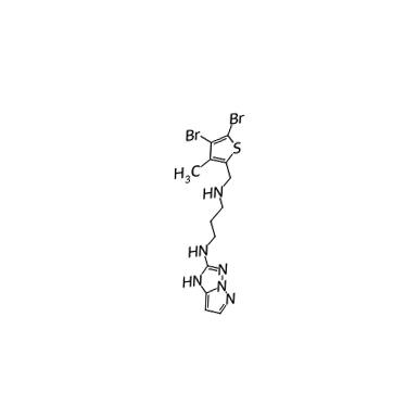 Cc1c(CNCCCNc2nn3nccc3[nH]2)sc(Br)c1Br